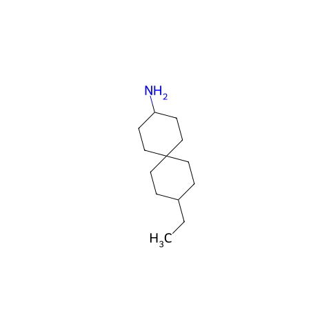 CCC1CCC2(CCC(N)CC2)CC1